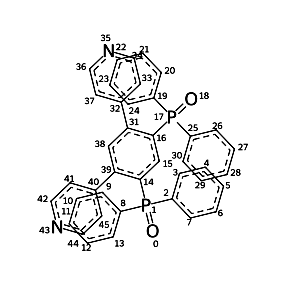 O=P(c1ccccc1)(c1ccccc1)c1cc(P(=O)(c2ccccc2)c2ccccc2)c(-c2ccncc2)cc1-c1ccncc1